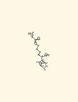 C=CC(=O)OCCCCC(CCC)C1=C2CCC(C2)C1